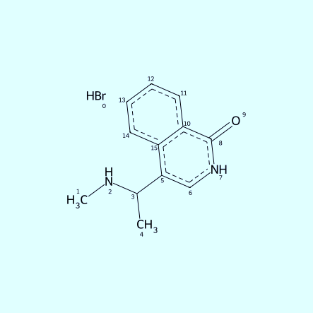 Br.CNC(C)c1c[nH]c(=O)c2ccccc12